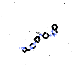 CC(=O)N(c1ccc(N2CCN(CC3CCNC3)CC2)cc1)C1CCC(Nc2ncc3ccccc3n2)CC1